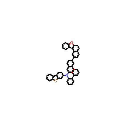 c1ccc(-c2ccccc2N(c2ccc3cc(-c4ccc5ccc6oc7ccccc7c6c5c4)ccc3c2)c2ccc3c(c2)sc2ccccc23)cc1